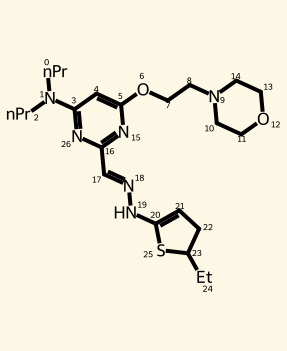 CCCN(CCC)c1cc(OCCN2CCOCC2)nc(/C=N/NC2=CCC(CC)S2)n1